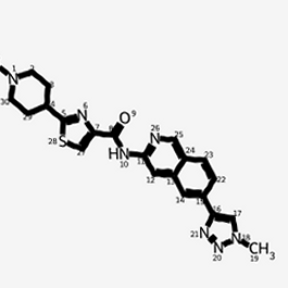 CC(C)N1CCC(c2nc(C(=O)Nc3cc4cc(-c5cn(C)nn5)ccc4cn3)cs2)CC1